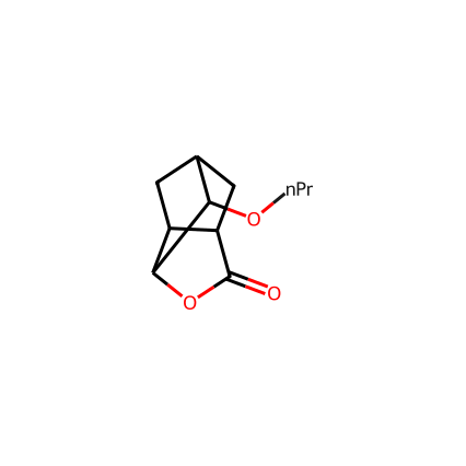 CCCOC1C2CC3C(=O)OC1C3C2